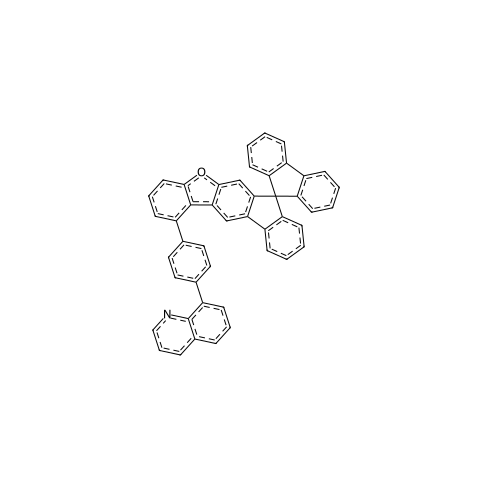 c1ccc2c(c1)-c1ccccc1C21c2ccccc2-c2cc3c(cc21)oc1cccc(-c2ccc(-c4cccc5cccnc45)cc2)c13